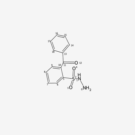 NNS(=O)(=O)c1ccccc1C(=O)c1ccccc1